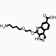 NCCCCOCCOc1nc2cc(C(=O)O)ccc2c2cn[nH]c12